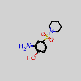 Nc1cc(S(=O)(=O)N2CCCCC2)ccc1O